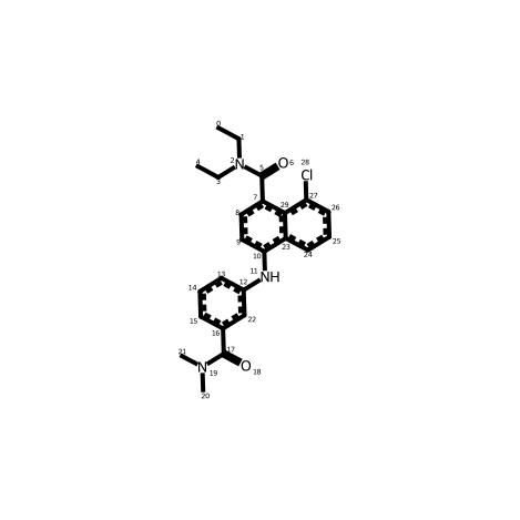 CCN(CC)C(=O)c1ccc(Nc2cccc(C(=O)N(C)C)c2)c2cccc(Cl)c12